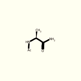 CC(=O)N[C@@H](C)C(N)=O